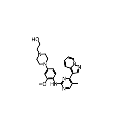 COc1cc(N2CCN(CCO)CC2)ccc1Nc1ncc(C)c(-c2cnn3ccccc23)n1